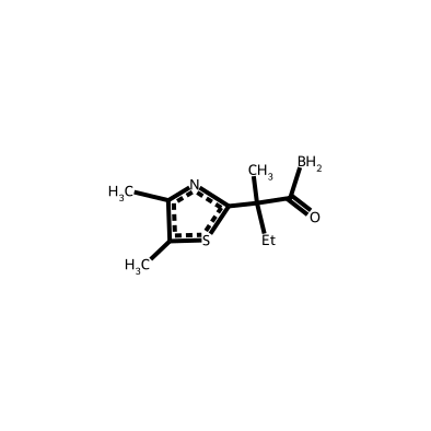 BC(=O)C(C)(CC)c1nc(C)c(C)s1